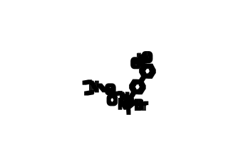 CCN(CC)CCOC(=O)Cn1nc(C)c(Br)c1-c1ccc(-c2cccc(S(C)(=O)=O)c2)cc1